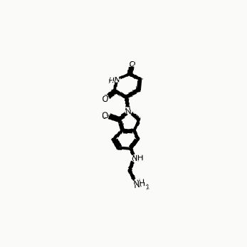 NCNc1ccc2c(c1)CN(C1CCC(=O)NC1=O)C2=O